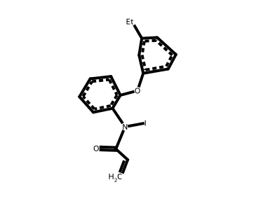 C=CC(=O)N(I)c1ccccc1Oc1cccc(CC)c1